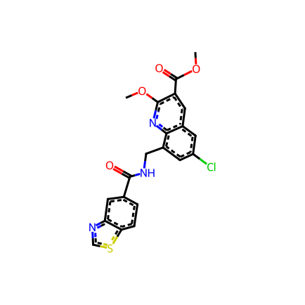 COC(=O)c1cc2cc(Cl)cc(CNC(=O)c3ccc4scnc4c3)c2nc1OC